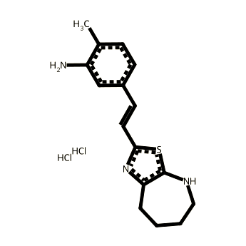 Cc1ccc(C=Cc2nc3c(s2)NCCCC3)cc1N.Cl.Cl